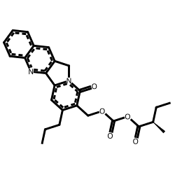 CCCc1cc2n(c(=O)c1COC(=O)OC(=O)[C@H](C)CC)Cc1cc3ccccc3nc1-2